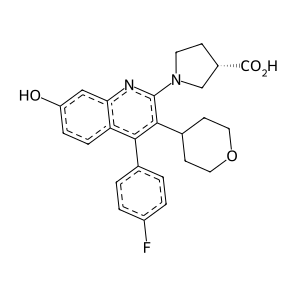 O=C(O)[C@H]1CCN(c2nc3cc(O)ccc3c(-c3ccc(F)cc3)c2C2CCOCC2)C1